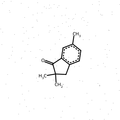 [CH2]C1(C)Cc2ccc(C)cc2C1=O